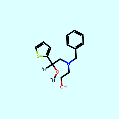 [2H]OC([2H])(CN(CCO)Cc1ccccc1)c1cccs1